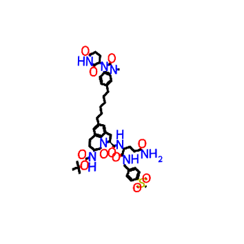 Cn1c(=O)n(C2CCC(=O)NC2=O)c2ccc(CCCCCCc3cc4c5c(c3)C[C@@H](C(=O)NC(CCC(N)=O)C(=O)NCc3ccc(S(C)(=O)=O)cc3)N5C(=O)[C@@H](NC(=O)OC(C)(C)C)CC4)cc21